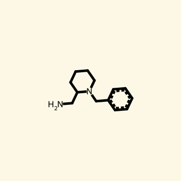 NCC1CCCCN1Cc1ccccc1